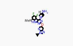 CNc1cc(F)c(F)c2c1[nH]c1nc(Oc3cnc4c(c3)ncn4C3CC3)nc(N3C[C@H]4CC3CC4N)c12